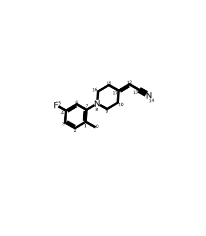 Cc1ccc(F)cc1N1CCC(=CC#N)CC1